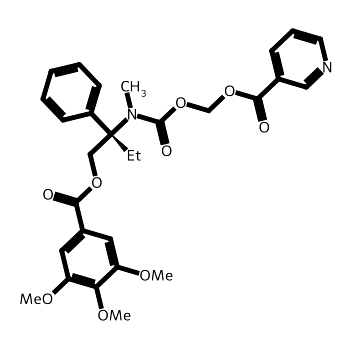 CC[C@@](COC(=O)c1cc(OC)c(OC)c(OC)c1)(c1ccccc1)N(C)C(=O)OCOC(=O)c1cccnc1